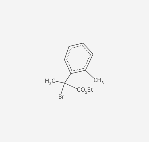 CCOC(=O)C(C)(Br)c1ccccc1C